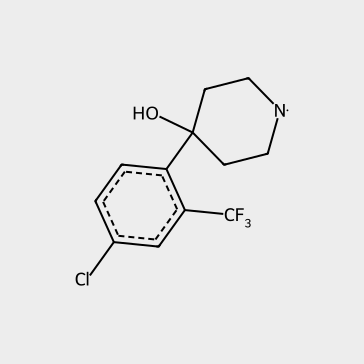 OC1(c2ccc(Cl)cc2C(F)(F)F)CC[N]CC1